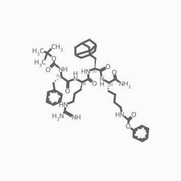 CC(C)(C)OC(=O)N[C@@H](Cc1ccccc1)C(=O)N[C@H](CCCNC(=N)N)C(=O)N[C@@H](CC12CC3CC(CC(C3)C1)C2)C(=O)N[C@@H](CCCCNC(=O)Oc1ccccc1)C(N)=O